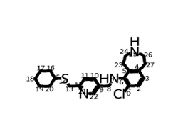 Clc1ccc2c(c1NCc1ccc(CSC3CCCCC3)nc1)CCNCC2